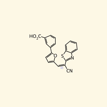 N#C/C(=C/c1ccc(-c2cccc(C(=O)O)c2)o1)c1nc2ccccc2s1